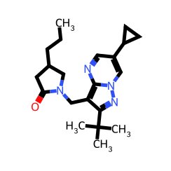 CCCC1CC(=O)N(Cc2c(C(C)(C)C)nn3cc(C4CC4)cnc23)C1